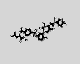 CC1=NC(CC(C)C)C(=O)N(C)c2cc(C(=O)Nc3ccc(C)c(N4Cc5cnc(Nc6ccc(C)nc6)nc5N(C)C4=O)c3)ccc21